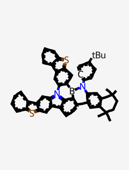 CC(C)(C)c1ccc(N2B3c4cc5sc6ccccc6c5cc4-n4c5cc6c(cc5c5ccc(c3c54)-c3cc4c(cc32)C(C)(C)CCC4(C)C)sc2ccccc26)cc1